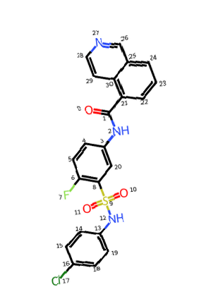 O=C(Nc1ccc(F)c(S(=O)(=O)Nc2ccc(Cl)cc2)c1)c1cccc2cnccc12